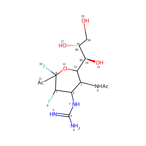 CC(=O)NC1C(NC(=N)N)C(F)C(F)(C(C)=O)OC1[C@H](O)[C@H](O)CO